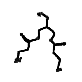 CSC(COC(=O)CCS)COC(=O)CCS